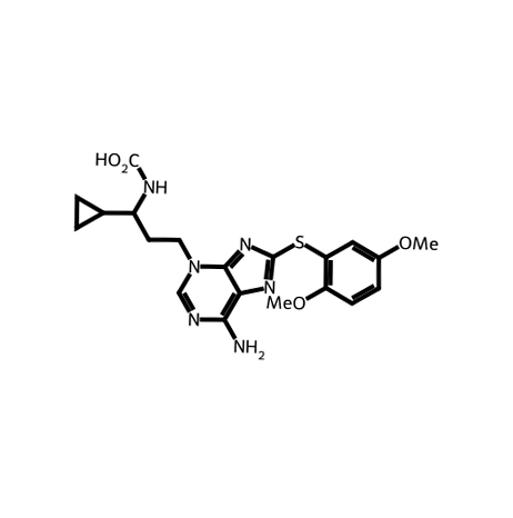 COc1ccc(OC)c(Sc2nc3c(N)ncn(CCC(NC(=O)O)C4CC4)c-3n2)c1